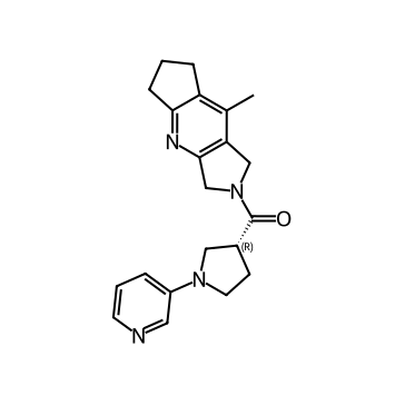 Cc1c2c(nc3c1CN(C(=O)[C@@H]1CCN(c4cccnc4)C1)C3)CCC2